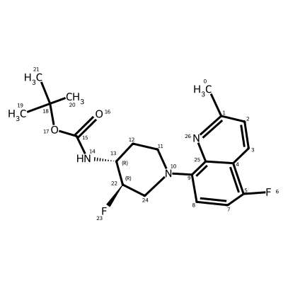 Cc1ccc2c(F)ccc(N3CC[C@@H](NC(=O)OC(C)(C)C)[C@H](F)C3)c2n1